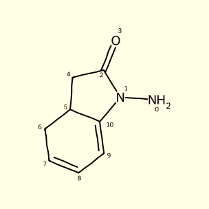 NN1C(=O)CC2CC=CC=C21